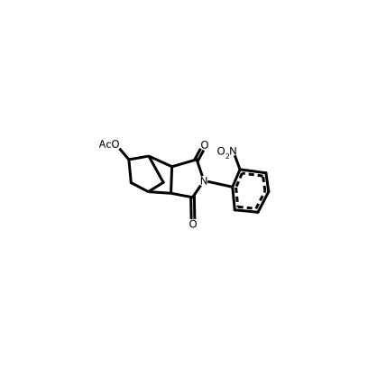 CC(=O)OC1CC2CC1C1C(=O)N(c3ccccc3[N+](=O)[O-])C(=O)C21